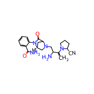 C=C(C(N)CN1C[C@@H]2CC1C(=O)N2c1ccccc1C(N)=O)N1CCCC1C#N